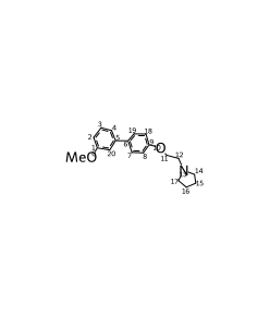 COc1cccc(-c2ccc(OCCN3CCCC3)cc2)c1